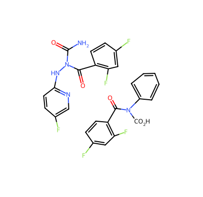 NC(=O)N(Nc1ccc(F)cn1)C(=O)c1ccc(F)cc1F.O=C(O)N(C(=O)c1ccc(F)cc1F)c1ccccc1